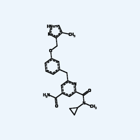 Cc1c[nH]nc1COc1cccc(Cc2cc(C(N)=O)cc(C(=O)N(C)C3CC3)n2)c1